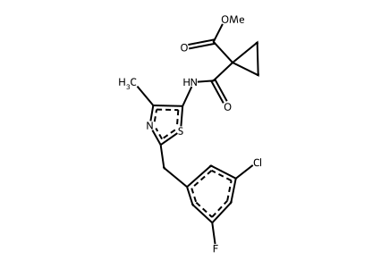 COC(=O)C1(C(=O)Nc2sc(Cc3cc(F)cc(Cl)c3)nc2C)CC1